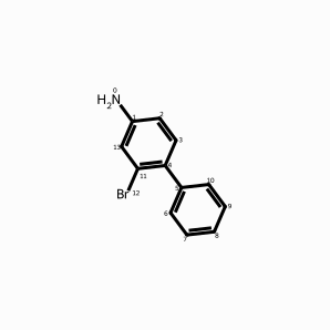 Nc1ccc(-c2ccccc2)c(Br)c1